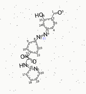 O=Cc1ccc(/N=N/c2ccc(S(=O)(=O)Nc3ccccn3)cc2)cc1O